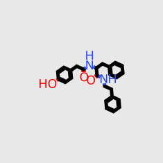 O=C(Cc1ccc(O)cc1)NC(Cc1ccccc1)C(=O)NCCc1ccccc1